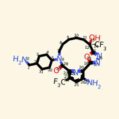 NCC1CCC(N2CCCCC[C@](O)(C(F)(F)F)c3nnc(o3)-c3nc(c(C(F)(F)F)cc3N)C2=O)CC1